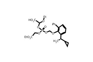 CCOC(=O)COP(=O)(OCOc1c(C(C)C)cccc1[C@H](C)C1CC1)OC(OCC)C(=O)O